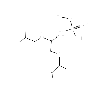 CC(O)COC(C)COC(C)CO.CCOP(=O)(O)O